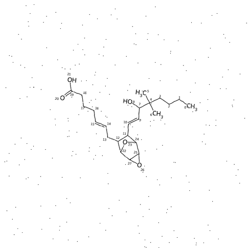 CCCCC(C)(C)C(O)C=CC1C(CC=CCCCC(=O)O)C2OC1C1OC21